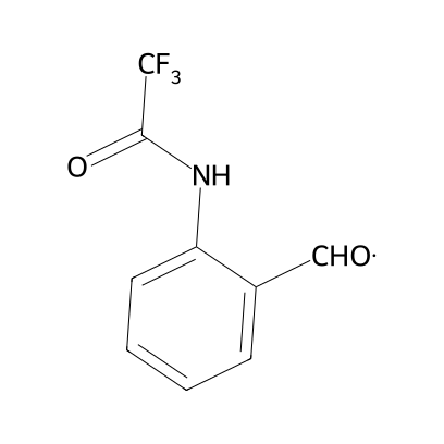 O=[C]c1ccccc1NC(=O)C(F)(F)F